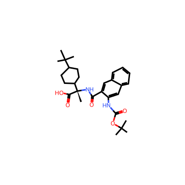 CC(C)(C)OC(=O)Nc1cc2ccccc2cc1C(=O)N[C@](C)(C(=O)O)C1CCC(C(C)(C)C)CC1